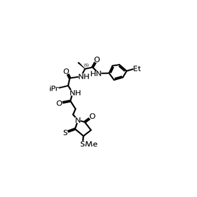 CCc1ccc(NC(=O)[C@H](C)NC(=O)C(NC(=O)CCN2C(=O)CC(SC)C2=S)C(C)C)cc1